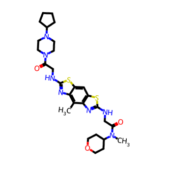 Cc1c2nc(NCC(=O)N3CCN(C4CCCC4)CC3)sc2cc2sc(NCC(=O)N(C)C3CCOCC3)nc12